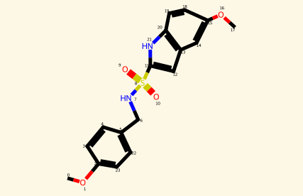 COc1ccc(CNS(=O)(=O)c2cc3cc(OC)ccc3[nH]2)cc1